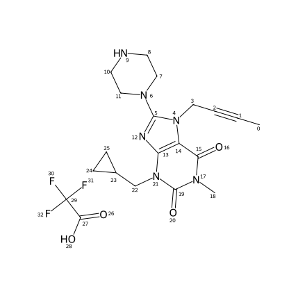 CC#CCn1c(N2CCNCC2)nc2c1c(=O)n(C)c(=O)n2CC1CC1.O=C(O)C(F)(F)F